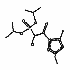 Cc1cc(C)n(C(=O)C(Cl)P(=O)(OC(C)C)OC(C)C)n1